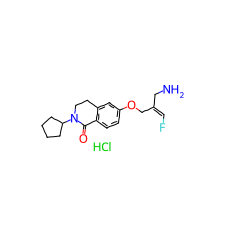 Cl.NC/C(=C/F)COc1ccc2c(c1)CCN(C1CCCC1)C2=O